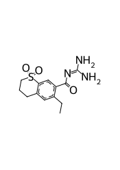 CCc1cc2c(cc1C(=O)N=C(N)N)S(=O)(=O)CCC2